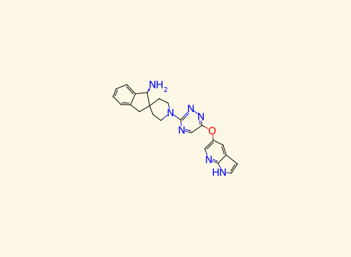 N[C@@H]1c2ccccc2CC12CCN(c1ncc(Oc3cnc4[nH]ccc4c3)nn1)CC2